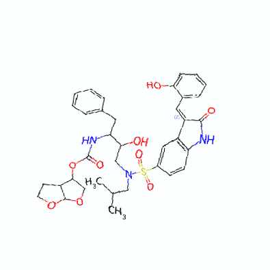 CC(C)CN(CC(O)C(Cc1ccccc1)NC(=O)OC1COC2OCCC12)S(=O)(=O)c1ccc2c(c1)/C(=C/c1ccccc1O)C(=O)N2